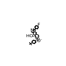 CC(C)(C)c1ccc([S+]([O-])N2CCC3=Cc4c(cnn4-c4ccc(F)cc4)C[C@]3(CO)C2)cc1